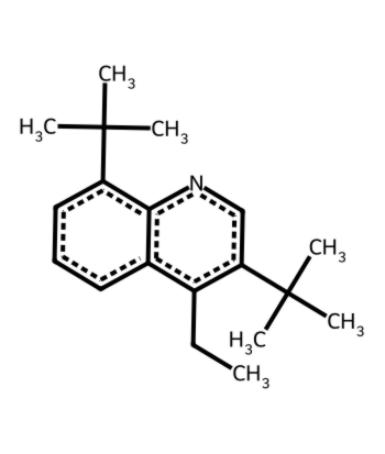 CCc1c(C(C)(C)C)cnc2c(C(C)(C)C)cccc12